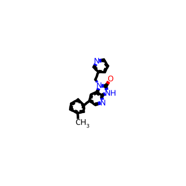 Cc1cccc(-c2cnc3[nH]c(=O)n(Cc4cccnc4)c3c2)c1